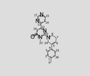 Cc1ccc(C2=CCCN(c3nc(-c4ccncn4)cc(=O)n3C)C2)cc1